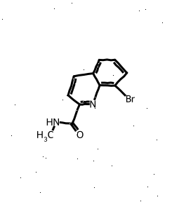 CNC(=O)c1ccc2cccc(Br)c2n1